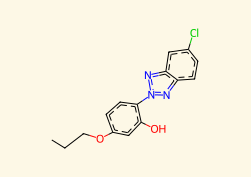 CCCOc1ccc(-n2nc3ccc(Cl)cc3n2)c(O)c1